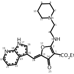 CCOC(=O)C1=C(NCCN2CCCCC2)OC(=Cc2c[nH]c3ncccc23)C1=O